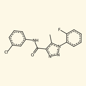 Cc1c(C(=O)Nc2cccc(Cl)c2)nnn1-c1ccccc1F